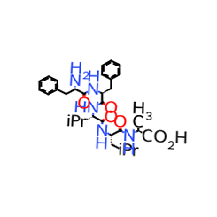 CC(C)C[C@H](NC(=O)[C@@H](NC(=O)[C@H](Cc1ccccc1)NC(=O)[C@@H](N)Cc1ccccc1)C(C)C)C(=O)N[C@@H](C)C(=O)O